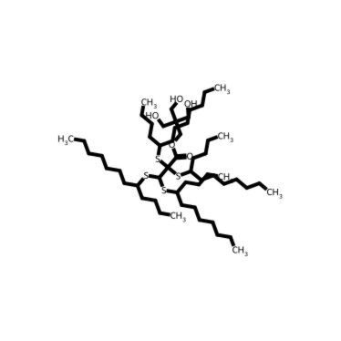 CCCCCCCC(CCCC)SC(SC(CCCC)CCCCCCC)C(SC(CCCC)CCCCCCC)(SC(CCCC)CCCCCCC)C(=O)OCC(CO)(CO)CO